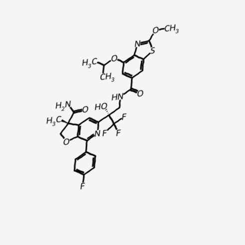 COc1nc2c(OC(C)C)cc(C(=O)NC[C@](O)(c3cc4c(c(-c5ccc(F)cc5)n3)OC[C@]4(C)C(N)=O)C(F)(F)F)cc2s1